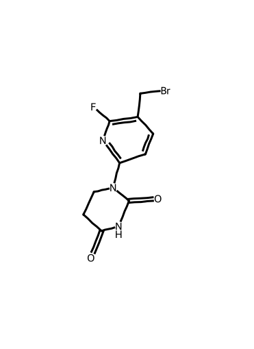 O=C1CCN(c2ccc(CBr)c(F)n2)C(=O)N1